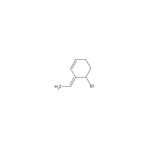 C/C=C1\C=CCCC1CC